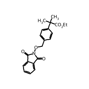 CCOC(=O)C(C)(C)c1ccc(CON2C(=O)c3ccccc3C2=O)cc1